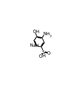 Nc1cc([SH](=O)=O)ccc1O.[NaH]